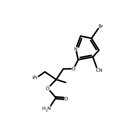 CC(C)CC(C)(COc1ncc(Br)cc1C#N)OC(N)=O